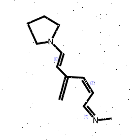 C=C(/C=C\C=N/C)/C=C/N1CCCC1